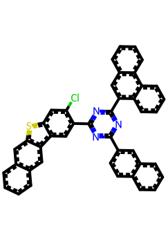 Clc1cc2sc3cc4ccccc4cc3c2cc1-c1nc(-c2ccc3ccccc3c2)nc(-c2cc3ccccc3c3ccccc23)n1